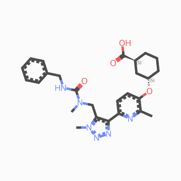 Cc1nc(-c2nnn(C)c2CN(C)C(=O)NCc2ccccc2)ccc1O[C@H]1CCC[C@H](C(=O)O)C1